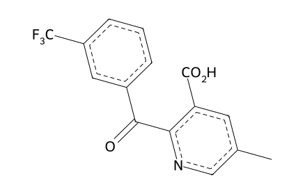 Cc1cnc(C(=O)c2cccc(C(F)(F)F)c2)c(C(=O)O)c1